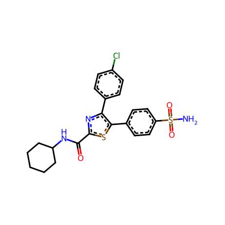 NS(=O)(=O)c1ccc(-c2sc(C(=O)NC3CCCCC3)nc2-c2ccc(Cl)cc2)cc1